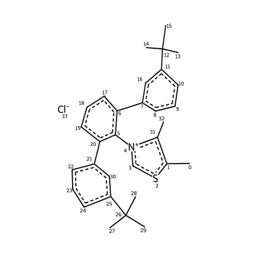 Cc1sc[n+](-c2c(-c3cccc(C(C)(C)C)c3)cccc2-c2cccc(C(C)(C)C)c2)c1C.[Cl-]